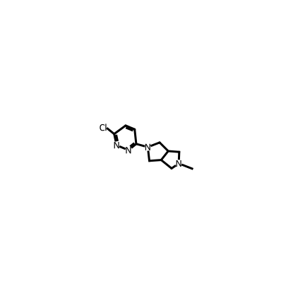 CN1CC2CN(c3ccc(Cl)nn3)CC2C1